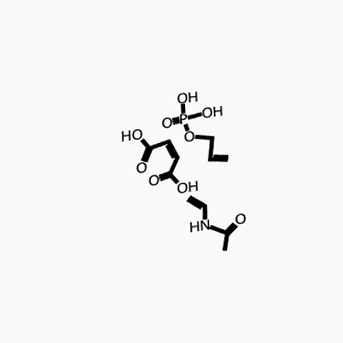 C=CCOP(=O)(O)O.C=CNC(C)=O.O=C(O)/C=C\C(=O)O